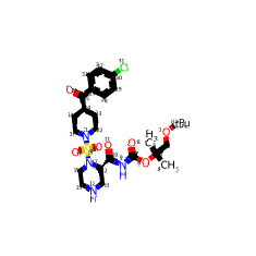 CC(C)(C)OCC(C)(C)OC(=O)NC(=O)[C@H]1CNCCN1S(=O)(=O)N1CCC(C(=O)c2ccc(Cl)cc2)CC1